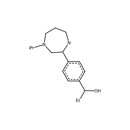 CCC(O)c1ccc(C2CN(C(C)C)CCC[N]2)cc1